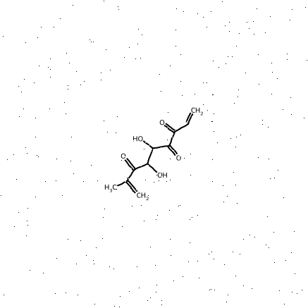 C=CC(=O)C(=O)C(O)C(O)C(=O)C(=C)C